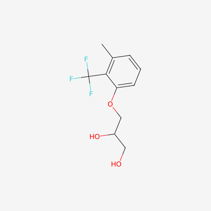 Cc1cccc(OCC(O)CO)c1C(F)(F)F